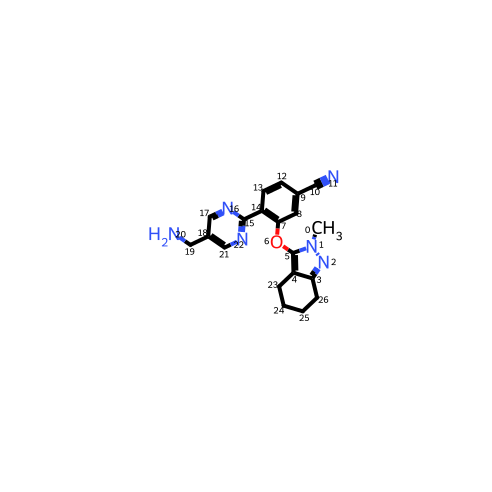 Cn1nc2c(c1Oc1cc(C#N)ccc1-c1ncc(CN)cn1)CCCC2